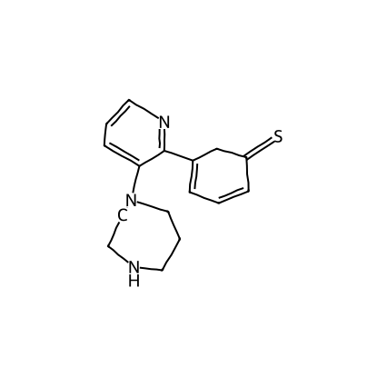 S=C1C=CC=C(c2ncccc2N2CCCNCC2)C1